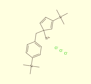 C[Si](C)(C)C1=C[C]([Ti+3])(Cc2ccc([Si](C)(C)C)cc2)C=C1.[Cl-].[Cl-].[Cl-]